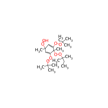 CCC(C)(C)OOC1(C)C(OOC(C)(C)C)=CC(C)(OO)C=C1OOC(C)(C)C